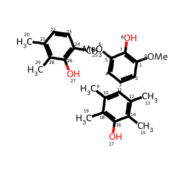 COc1cccc(OC)c1O.Cc1cc(C)c(C)c(O)c1C.Cc1ccc(C)c(O)c1C